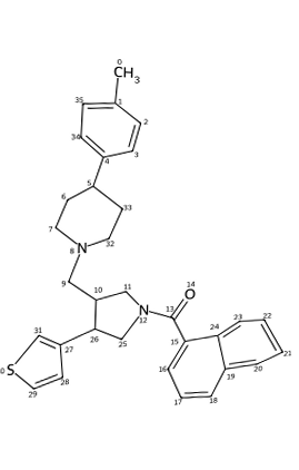 Cc1ccc(C2CCN(CC3CN(C(=O)c4cccc5ccccc45)CC3c3ccsc3)CC2)cc1